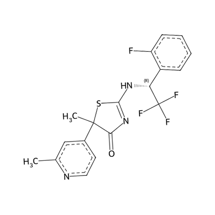 Cc1cc(C2(C)SC(N[C@H](c3ccccc3F)C(F)(F)F)=NC2=O)ccn1